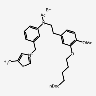 CCCCCCCCCCCCCCOc1cc(CCN(C(C)=O)c2cccc(C[n+]3csc(C)c3)c2)ccc1OC.[Br-]